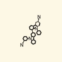 N#Cc1cccc(-n2c3ccccc3c3ccc(-c4cccc5c6c(n(-c7ccccc7)c45)C=CC(C#N)C6)cc32)c1